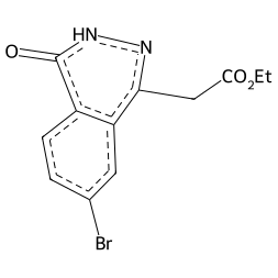 CCOC(=O)Cc1n[nH]c(=O)c2ccc(Br)cc12